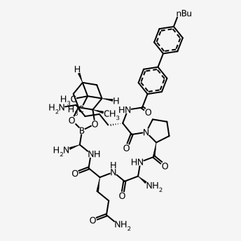 CCCCc1ccc(-c2ccc(C(=O)N[C@@H](CCCCN)C(=O)N3CCC[C@H]3C(=O)N[C@@H](N)C(=O)N[C@@H](CCC(N)=O)C(=O)N[C@@H](N)B3OC4C[C@@H]5C[C@@H](C5(C)C)[C@]4(C)O3)cc2)cc1